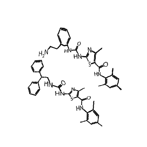 Cc1cc(C)c(NC(=O)c2sc(NC(=O)NCC(c3ccccc3)c3ccccc3)nc2C)c(C)c1.Cc1cc(C)c(NC(=O)c2sc(NC(=O)Nc3ccccc3CCN)nc2C)c(C)c1